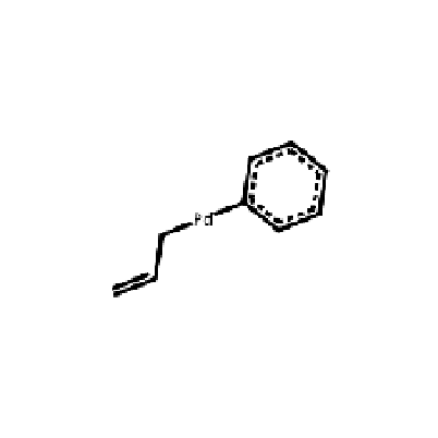 C=C[CH2][Pd][c]1ccccc1